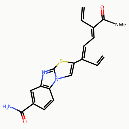 C=C/C(=C\C=C(/C=C)c1cn2c(nc3cc(C(N)=O)ccc32)s1)C(=O)NC